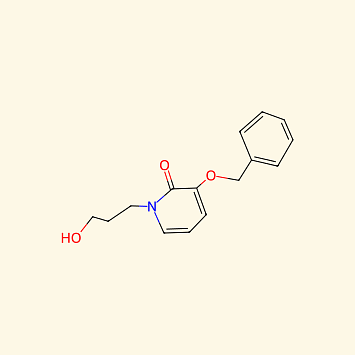 O=c1c(OCc2ccccc2)cccn1CCCO